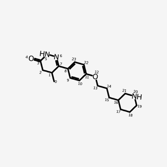 CC1CC(=O)NN=C1c1ccc(OCCCC2CCCNC2)cc1